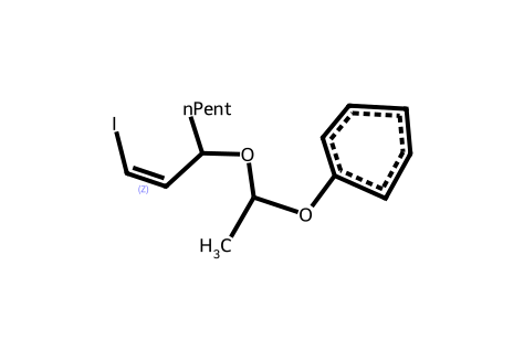 CCCCCC(/C=C\I)OC(C)Oc1ccccc1